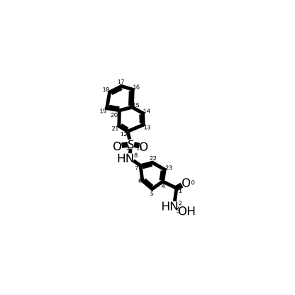 O=C(NO)c1ccc(NS(=O)(=O)c2ccc3ccccc3c2)cc1